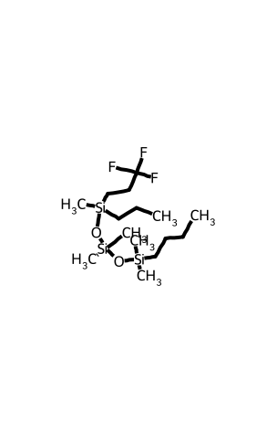 CCCC[Si](C)(C)O[Si](C)(C)O[Si](C)(CCC)CCC(F)(F)F